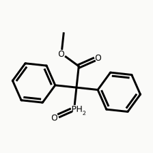 COC(=O)C([PH2]=O)(c1ccccc1)c1ccccc1